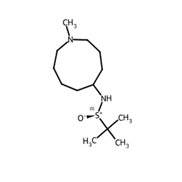 CN1CCCCC(N[S@+]([O-])C(C)(C)C)CCC1